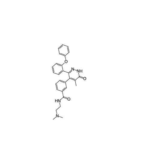 Cc1c(-c2cccc(C(=O)NCCN(C)C)c2)c(-c2ccccc2Oc2ccccc2)n[nH]c1=O